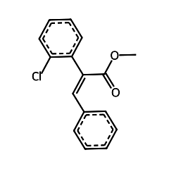 COC(=O)C(=Cc1ccccc1)c1ccccc1Cl